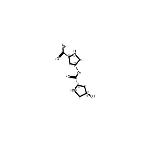 O=C(O)[C@@H]1C[C@@H](OC(=O)[C@@H]2C[C@@H](O)CN2)CN1